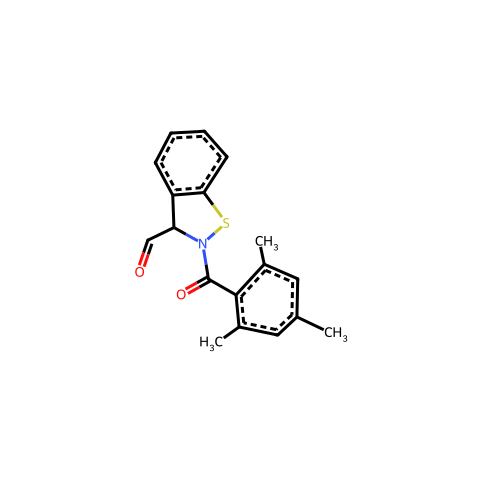 Cc1cc(C)c(C(=O)N2Sc3ccccc3C2C=O)c(C)c1